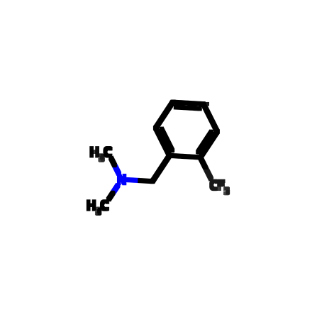 CN(C)Cc1cc[c]cc1C(F)(F)F